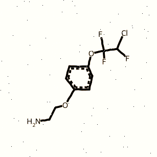 NCCOc1ccc(OC(F)(F)C(F)Cl)cc1